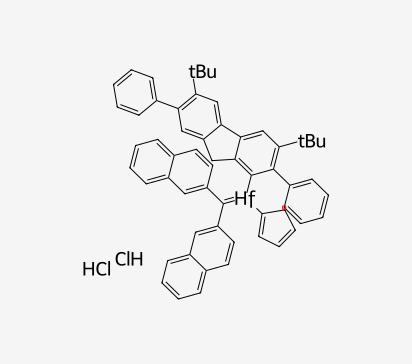 CC(C)(C)c1cc2c(cc1-c1ccccc1)Cc1c-2cc(C(C)(C)C)c(-c2ccccc2)[c]1[Hf]([C]1=CC=CC1)=[C](c1ccc2ccccc2c1)c1ccc2ccccc2c1.Cl.Cl